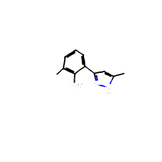 COc1c(C)cccc1-c1cc(C)[nH]n1